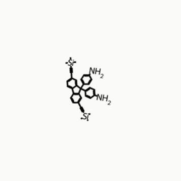 C[Si](C)(C)C#Cc1ccc2c(c1)C(c1ccc(N)cc1)(c1ccc(N)cc1)c1cc(C#C[Si](C)(C)C)ccc1-2